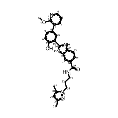 COc1ncccc1-c1ccc(O)c(-c2nc3cc(C(=O)NCCCn4nc(C)cc4C)ccc3[nH]2)c1